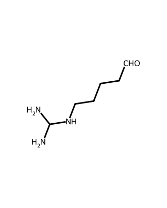 NC(N)NCCCCC=O